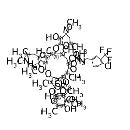 CON=C1C[C@@H](C)O[C@@H](O[C@@H]2[C@@H](C)[C@H](O[C@@H]3C[C@@H](C)CN(C)[C@@H](C)C3)[C@@H](C)C(=O)OC([C@@H](C)CO[C@@H]3O[C@H](C)[C@@H](O)[C@@H](OC)[C@H]3OC)[C@H](C)[C@@H](OC(=O)CC(C)C)[C@@H](C)C(=O)[C@@](C)(OC(=O)NCc3ccc(Cl)c(C(F)(F)F)c3)C[C@@H]2C)[C@@H]1O